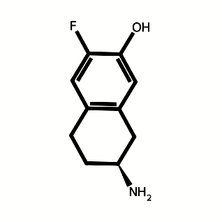 N[C@H]1CCc2cc(F)c(O)cc2C1